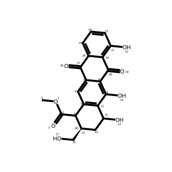 COC(=O)C1c2cc3c(c(O)c2C(O)C[C@H]1CO)C(=O)c1c(O)cccc1C3=O